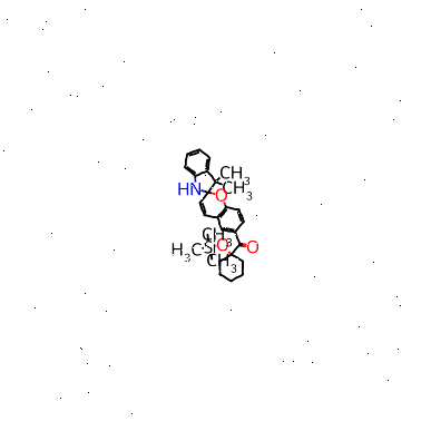 CC1(C)c2ccccc2NC12C=Cc1cc(C(=O)C3(O[Si](C)(C)C)CCCCC3)ccc1O2